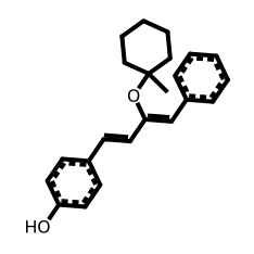 CC1(OC(C=Cc2ccc(O)cc2)=Cc2ccccc2)CCCCC1